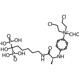 C[C@H](Nc1ccc([N+](C=O)(CCCl)CCCl)cc1)C(=O)NCCCCCC(O)(P(=O)(O)O)P(=O)(O)O